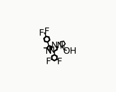 Cc1nn2c(-c3cc(F)cc(F)c3)cc(N3CCC[C@H]3CO)nc2c1-c1ccc(C(F)F)cc1